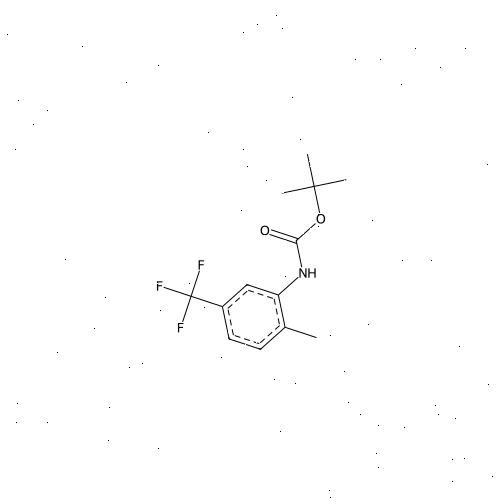 Cc1ccc(C(F)(F)F)cc1NC(=O)OC(C)(C)C